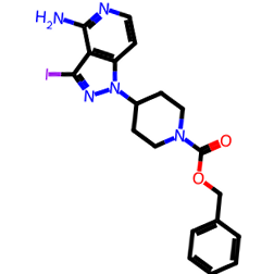 Nc1nccc2c1c(I)nn2C1CCN(C(=O)OCc2ccccc2)CC1